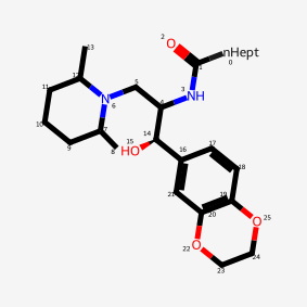 CCCCCCCC(=O)NC(CN1C(C)CCCC1C)[C@H](O)c1ccc2c(c1)OCCO2